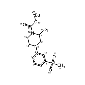 CC(C)C1CN(c2cccc(S(C)(=O)=O)c2)CCN1C(=O)OC(C)(C)C